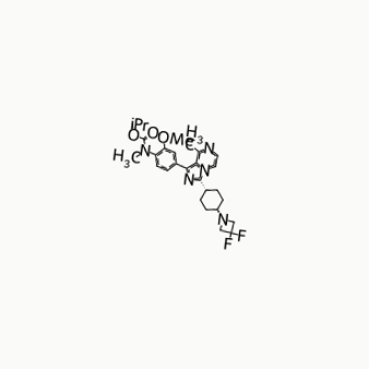 COc1cc(-c2nc([C@H]3CC[C@H](N4CC(F)(F)C4)CC3)n3ccnc(C)c23)ccc1N(C)C(=O)OC(C)C